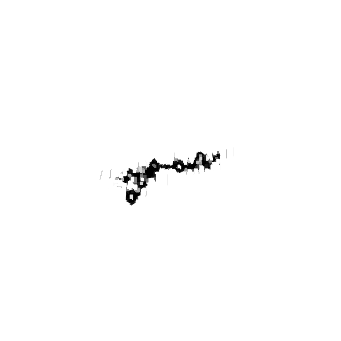 COC(=O)N[C@H](C(=O)N1CCC[C@H]1c1ncc(-c2ccc(C#Cc3ccc4nc([C@@H]5C[C@@H](Oc6ccccc6)CN5C(=O)[C@@H](NC(=O)OC)C(C)C)[nH]c4c3)cc2)[nH]1)C(C)C